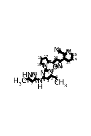 CCc1cc(Nc2cc(C)[nH]n2)nc(N2CCC[C@H]2c2cc(-c3cccnc3C#N)no2)n1